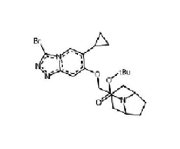 CC(C)(C)OC(=O)N1C2CCC1CC(COc1cc3nnc(Br)n3cc1C1CC1)C2